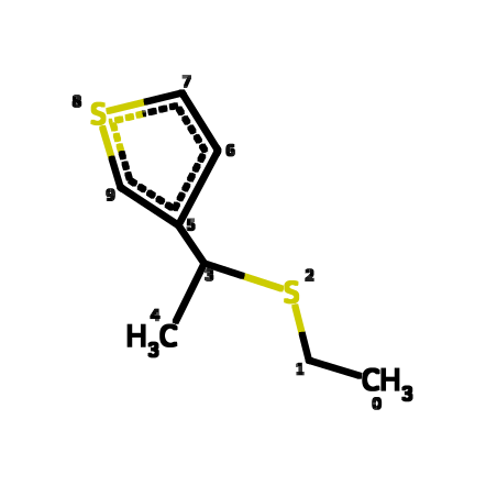 CCSC(C)c1ccsc1